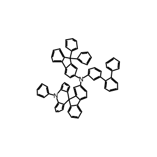 c1ccc(-c2ccccc2-c2cccc(N(c3ccc4c(c3)C(c3ccccc3)(c3ccccc3)c3ccccc3-4)c3ccc4c(c3)C3(c5ccccc5-4)c4ccccc4N(c4ccccc4)c4ccccc43)c2)cc1